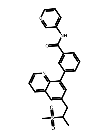 CC(Cc1cc(-c2cccc(C(=O)Nc3cccnc3)c2)c2ncccc2c1)S(C)(=O)=O